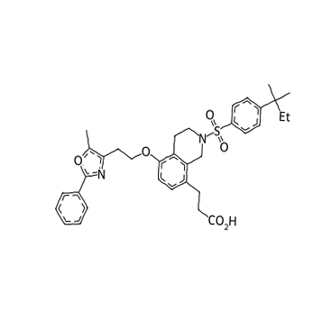 CCC(C)(C)c1ccc(S(=O)(=O)N2CCc3c(OCCc4nc(-c5ccccc5)oc4C)ccc(CCC(=O)O)c3C2)cc1